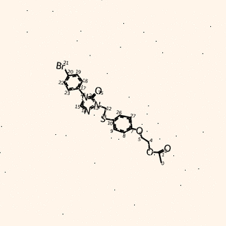 CC(=O)OCCOc1ccc(SCn2ncn(-c3ccc(Br)cc3)c2=O)cc1